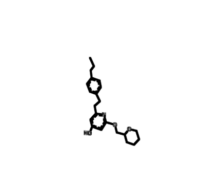 CCCc1ccc(CCc2cc(O)cc(OCC3CCCCO3)n2)cc1